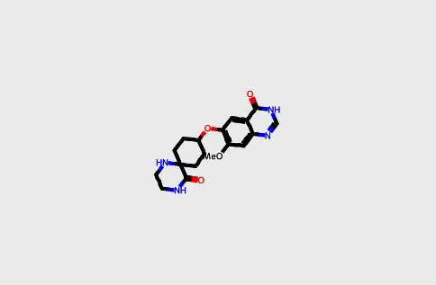 COc1cc2nc[nH]c(=O)c2cc1OC1CCC2(CC1)NCCNC2=O